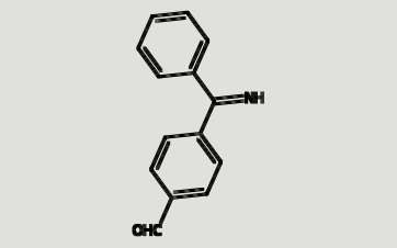 N=C(c1ccccc1)c1ccc(C=O)cc1